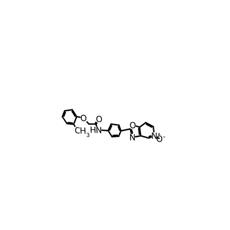 Cc1ccccc1OCC(=O)Nc1ccc(-c2nc3c[n+]([O-])ccc3o2)cc1